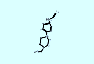 CC(C)CN1CCN(c2ccc(NC=S)cc2)CC1